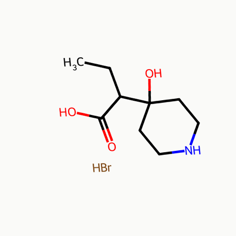 Br.CCC(C(=O)O)C1(O)CCNCC1